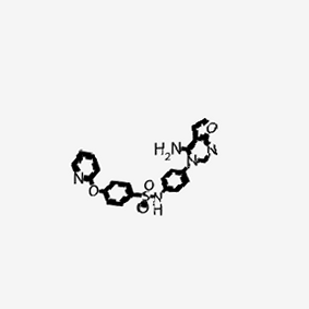 NC1=c2ccoc2=NCN1c1ccc(NS(=O)(=O)c2ccc(Oc3ccccn3)cc2)cc1